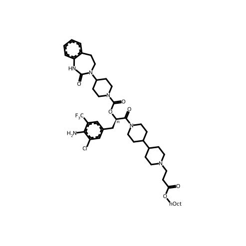 CCCCCCCCOC(=O)CCN1CCC(C2CCN(C(=O)[C@@H](Cc3cc(Cl)c(N)c(C(F)(F)F)c3)OC(=O)N3CCC(N4CCc5ccccc5NC4=O)CC3)CC2)CC1